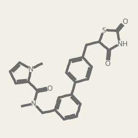 CN(Cc1cccc(-c2ccc(CC3SC(=O)NC3=O)cc2)c1)C(=O)c1cccn1C